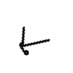 CCCCCCCCCCCCCCCCCCc1n(CCCCCCCCCCC)cc[n+]1CCCc1ccccc1